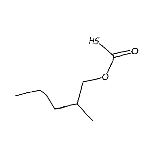 CCCC(C)COC(=O)S